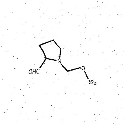 CC(C)(C)OCN1CCCC1C=O